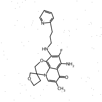 Cc1cn2c3c(c(NCCCc4ccccn4)c(F)c(N)c3c1=O)OCC21CCOC1